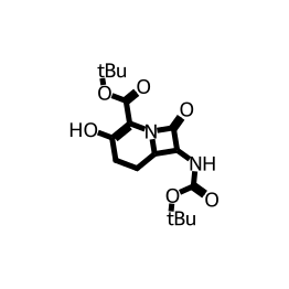 CC(C)(C)OC(=O)NC1C(=O)N2C(C(=O)OC(C)(C)C)=C(O)CCC12